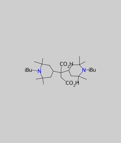 CCC(C)N1C(C)(C)CC(C(CC(=O)O)(C(=O)O)C2CC(C)(C)N(C(C)CC)C(C)(C)C2)CC1(C)C